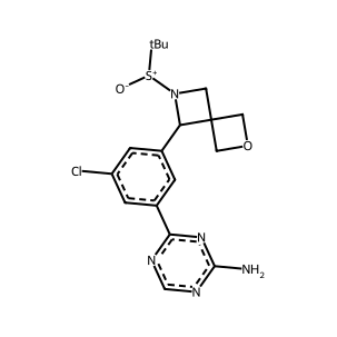 CC(C)(C)[S+]([O-])N1CC2(COC2)C1c1cc(Cl)cc(-c2ncnc(N)n2)c1